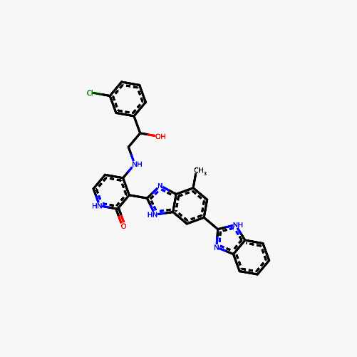 Cc1cc(-c2nc3ccccc3[nH]2)cc2[nH]c(-c3c(NCC(O)c4cccc(Cl)c4)cc[nH]c3=O)nc12